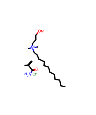 C=C(C)C(N)=O.CCCCCCCCCCCC[N+](C)(C)CCCO.[Cl-]